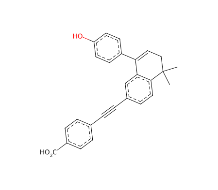 CC1(C)CC=C(c2ccc(O)cc2)c2cc(C#Cc3ccc(C(=O)O)cc3)ccc21